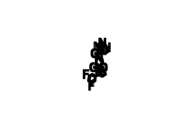 O=C(c1ccnc2ncnn12)N1CCC2(CC1)OC1CCC(c3cc(F)cc(F)c3)N1C2=O